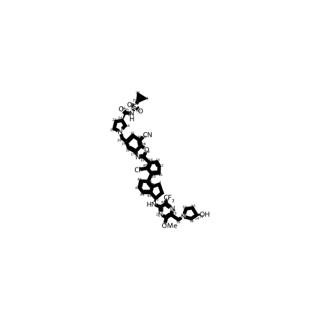 COc1nc(N[C@@H]2CCc3c(-c4cccc(-c5nc6cc(CN7CC[C@@H](C(=O)NS(=O)(=O)C8CC8)C7)cc(C#N)c6o5)c4Cl)cccc32)c(C(F)(F)F)nc1CN1CC[C@@H](O)C1